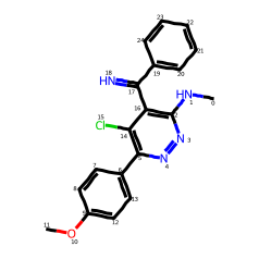 CNc1nnc(-c2ccc(OC)cc2)c(Cl)c1C(=N)c1ccccc1